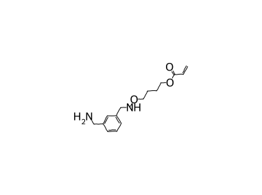 C=CC(=O)OCCCCONCc1cccc(CN)c1